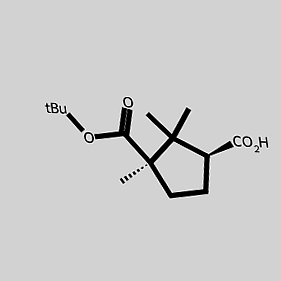 CC(C)(C)OC(=O)[C@]1(C)CC[C@H](C(=O)O)C1(C)C